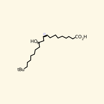 [CH2]C([CH2])([CH2])CCCCCCC[C@@H](O)C/C=C\CCCCCCCC(=O)O